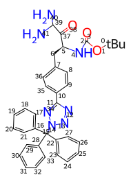 CC(C)(C)OC(=O)N[C@@H](Cc1ccc(-c2nnn(C(c3ccccc3)(c3ccccc3)c3ccccc3)n2)cc1)C(=O)C(N)N